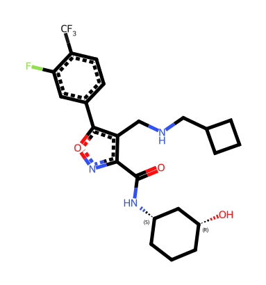 O=C(N[C@H]1CCC[C@@H](O)C1)c1noc(-c2ccc(C(F)(F)F)c(F)c2)c1CNCC1CCC1